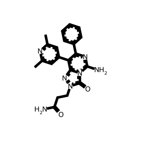 Cc1cc(-c2c(-c3ccccc3)nc(N)n3c(=O)n(CCC(N)=O)nc23)cc(C)n1